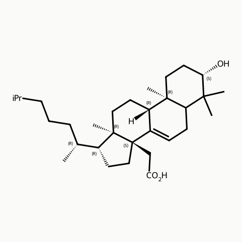 CC(C)CCC[C@@H](C)[C@H]1CC[C@@]2(CC(=O)O)C3=CCC4C(C)(C)[C@@H](O)CC[C@]4(C)[C@H]3CC[C@]12C